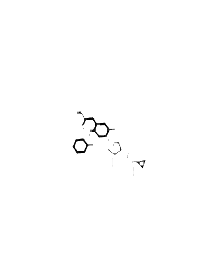 O=C(O)c1cn(-c2ccc(F)cc2F)c2cc(N3C[C@H](CNC4CC4)[C@H](F)C3)c(F)cc2c1=O